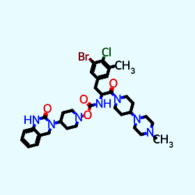 Cc1cc(CC(NC(=O)ON2CCC(N3Cc4ccccc4NC3=O)CC2)C(=O)N2CCC(N3CCN(C)CC3)CC2)cc(Br)c1Cl